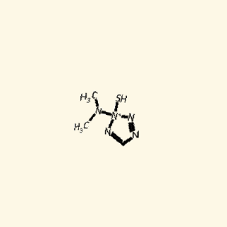 CN(C)[N+]1(S)N=CN=N1